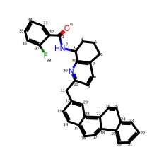 O=C(NC1CCCc2ccc(Cc3ccc4ccc5c6ccccc6ccc5c4c3)nc21)c1ccccc1F